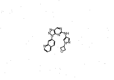 c1cnc2cc(-n3nnc4cnc(Nc5cnn(C6COC6)c5)nc43)ccc2c1